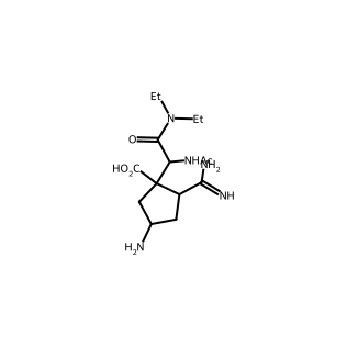 CCN(CC)C(=O)C(NC(C)=O)C1(C(=O)O)CC(N)CC1C(=N)N